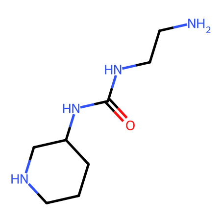 NCCNC(=O)NC1CCCNC1